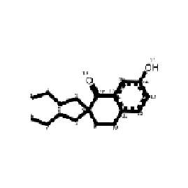 CCCCC1(CCCC)CCc2ccc(O)cc2C1=O